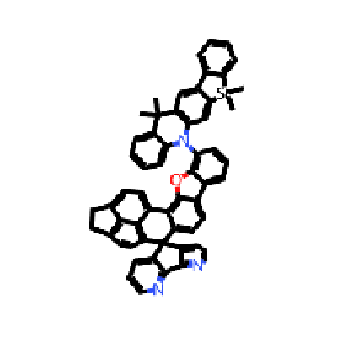 CC1(C)c2ccccc2N(c2cccc3c2oc2c4c(ccc23)C2(c3cccnc3-c3ncccc32)c2ccc3c5c(ccc-4c25)CC3)c2cc3c(cc21)-c1ccccc1[Si]3(C)C